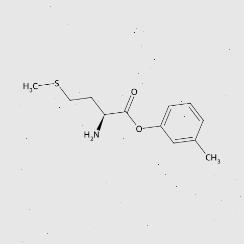 CSCC[C@H](N)C(=O)Oc1cccc(C)c1